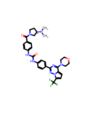 CN(C)[C@@H]1CCN(C(=O)c2ccc(NC(=O)Nc3ccc(-c4nc(N5CCOCC5)c5ccc(C(F)(F)F)n5n4)cc3)cc2)C1